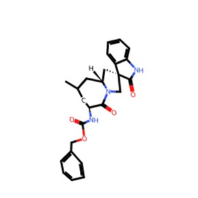 CC1C[C@@H]2C[C@@]3(CN2C(=O)[C@@H](NC(=O)OCc2ccccc2)C1)C(=O)Nc1ccccc13